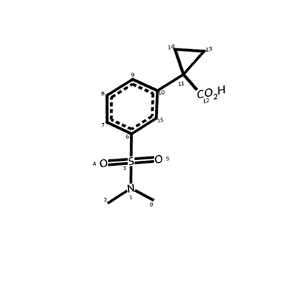 CN(C)S(=O)(=O)c1cccc(C2(C(=O)O)CC2)c1